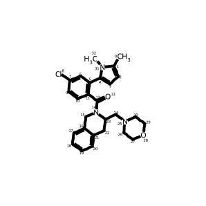 Cc1ccc(-c2cc(Cl)ccc2C(=O)N2Cc3ccccc3CC2CN2CCOCC2)n1C